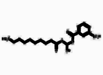 CCCC(OC(=O)CCCCCCCCC(=O)O)OC(=O)c1cccc(C(=O)O)c1